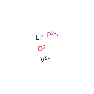 [Li+].[O-2].[P+3].[V+5]